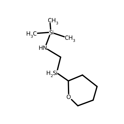 C[Si](C)(C)NC[SiH2]C1CCCCO1